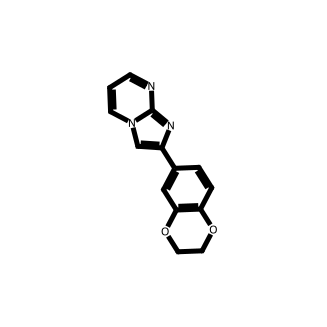 c1cnc2nc(-c3ccc4c(c3)OCCO4)cn2c1